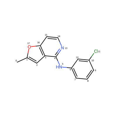 Cc1cc2c(Nc3cccc(Cl)c3)nccc2o1